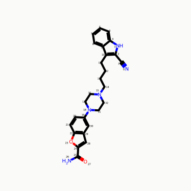 N#Cc1[nH]c2ccccc2c1CCCCN1CCN(c2ccc3oc(C(N)=O)cc3c2)CC1